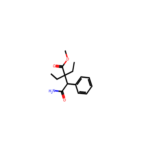 CCC(CC)(C(=O)OC)C(C(N)=O)c1ccccc1